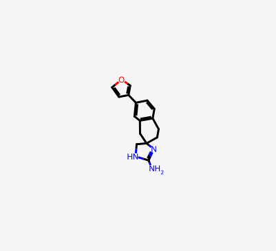 NC1=NC2(CCc3ccc(-c4ccoc4)cc3C2)CN1